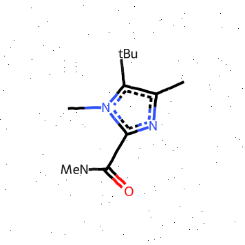 CNC(=O)c1nc(C)c(C(C)(C)C)n1C